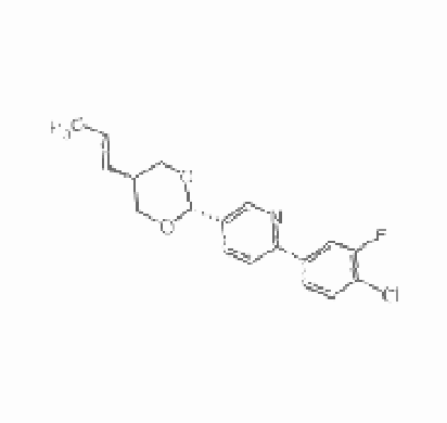 C/C=C/[C@H]1CO[C@H](c2ccc(-c3ccc(Cl)c(F)c3)nc2)OC1